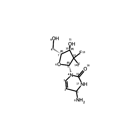 NC1C=CN([C@@H]2O[C@H](CO)[C@@H](O)C2(F)F)C(=O)N1